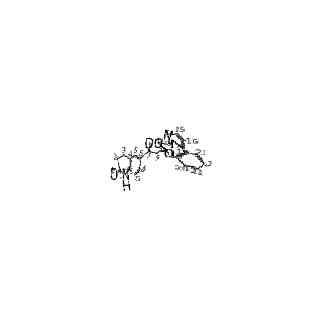 O=C1CCc2cc(C(=O)CS(=O)(=O)c3nccn3-c3ccccc3)ccc2N1